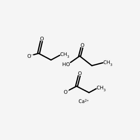 CCC(=O)O.CCC(=O)[O-].CCC(=O)[O-].[Ca+2]